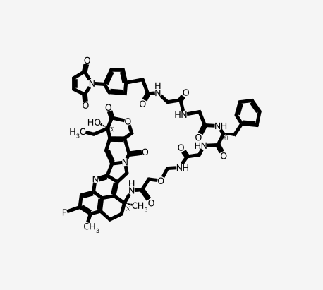 CC[C@@]1(O)C(=O)OCc2c1cc1n(c2=O)Cc2c-1nc1cc(F)c(C)c3c1c2[C@@](C)(NC(=O)COCNC(=O)CNC(=O)[C@H](Cc1ccccc1)NC(=O)CNC(=O)CNC(=O)Cc1ccc(N2C(=O)C=CC2=O)cc1)CC3